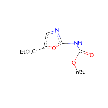 CCCCOC(=O)Nc1ncc(C(=O)OCC)o1